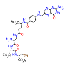 Nc1nc2ncc(CNc3ccc(C(=O)N[C@@H](CCC(=O)NC[C@H](N)C(=O)N[C@@H](CC(=O)O)C(=O)N[C@@H](CS)C(=O)O)C(=O)O)cc3)nc2c(=O)[nH]1